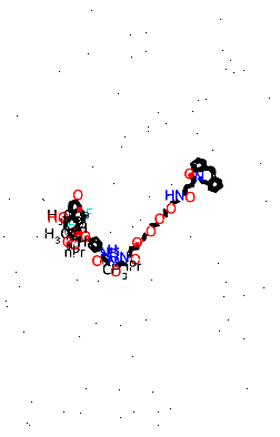 CCC[C@@H]1O[C@@H]2C[C@H]3[C@@H]4C[C@H](F)C5=CC(=O)C=C[C@]5(C)[C@@]4(F)[C@@H](O)C[C@]3(C)[C@]2(C(=O)COc2ccc(NC(=O)[C@H](C)NC(=O)[C@@H](NC(=O)CCOCCOCCOCCOCCNC(=O)CCC(=O)N3Cc4ccccc4C#Cc4ccccc43)C(C)C)cc2)O1